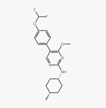 COc1nc(N[C@H]2CC[C@H](C)CC2)ncc1-c1ccc(OC(F)F)cc1